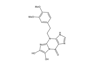 COc1ccc(CCn2c3[nH]cnc3c(=O)n3c(O)c(O)nc23)cc1OC